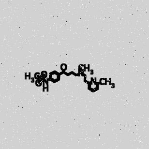 Cc1cccc(CCN(C)CCCC(=O)c2ccc(NS(C)(=O)=O)cc2)n1